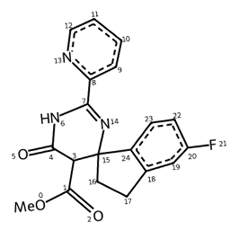 COC(=O)C1C(=O)NC(c2ccccn2)=NC12CCc1cc(F)ccc12